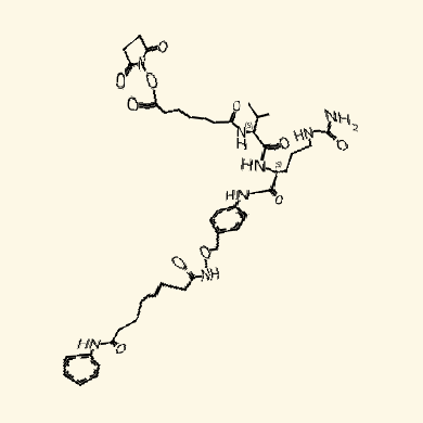 CC(C)[C@H](NC(=O)CCCCCC(=O)ON1C(=O)CCC1=O)C(=O)N[C@@H](CCCNC(N)=O)C(=O)Nc1ccc(CONC(=O)CCCCCCC(=O)Nc2ccccc2)cc1